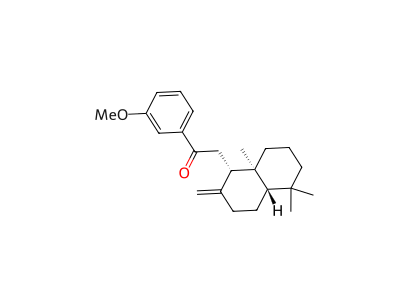 C=C1CC[C@H]2C(C)(C)CCC[C@]2(C)[C@H]1CC(=O)c1cccc(OC)c1